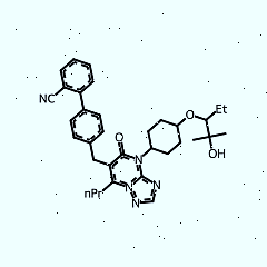 CCCc1c(Cc2ccc(-c3ccccc3C#N)cc2)c(=O)n(C2CCC(OC(CC)C(C)(C)O)CC2)c2ncnn12